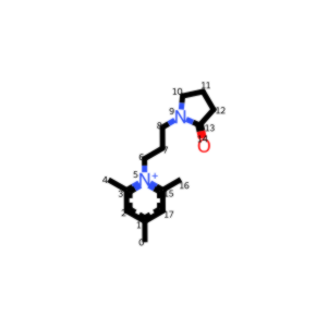 Cc1cc(C)[n+](CCCN2CCCC2=O)c(C)c1